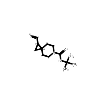 CC(C)(C)OC(=O)N1CCC2(CC1)CC2C=O